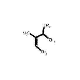 C/C=C(/C)C(C)C